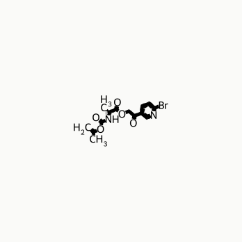 C=C(C)OC(=O)N[C@@H](C)C(=O)OCC(=O)c1ccc(Br)nc1